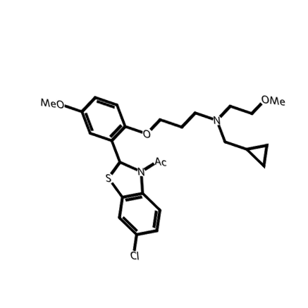 COCCN(CCCOc1ccc(OC)cc1C1Sc2cc(Cl)ccc2N1C(C)=O)CC1CC1